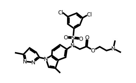 Cc1ccc(-n2cc(C)c3cc(N(CC(=O)OCCN(C)C)S(=O)(=O)c4cc(Cl)cc(Cl)c4)ccc32)nn1